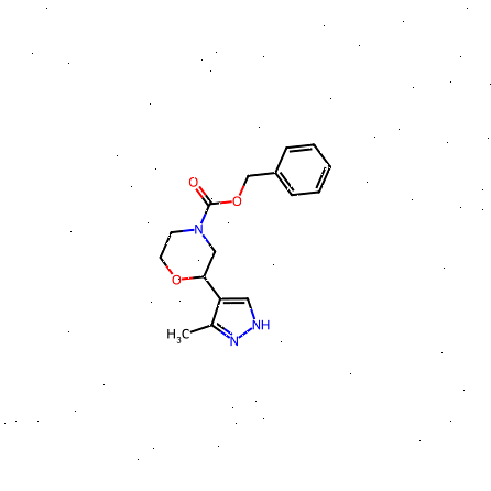 Cc1n[nH]cc1C1CN(C(=O)OCc2ccccc2)CCO1